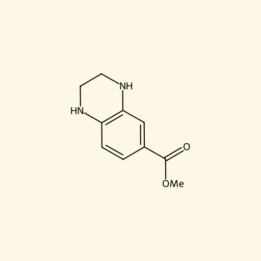 COC(=O)c1ccc2c(c1)NCCN2